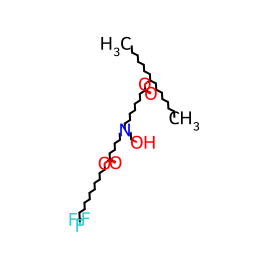 CCCCCCCCC(CCCCCCCC)OC(=O)CCCCCCCN(CCO)CCCCCC(=O)OCCCCCCCCCCC(F)(F)F